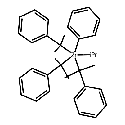 C[CH](C)[Zr]([c]1ccccc1)([C](C)(C)c1ccccc1)([C](C)(C)c1ccccc1)[C](C)(C)c1ccccc1